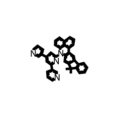 CC1(C)c2ccccc2-c2cc3c(cc21)N(c1cc(-c2cccnc2)cc(-c2cccnc2)n1)c1cccc2cccc-3c12